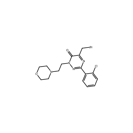 CC(C)Cc1nc(-c2ccccc2Cl)nn(CCN2CCOCC2)c1=O